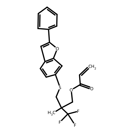 C=CC(=O)OCC(C)(CSc1ccc2cc(-c3ccccc3)oc2c1)C(F)(F)F